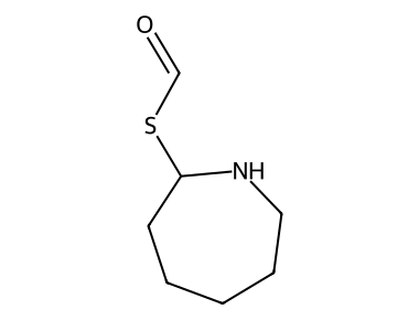 O=CSC1CCCCCN1